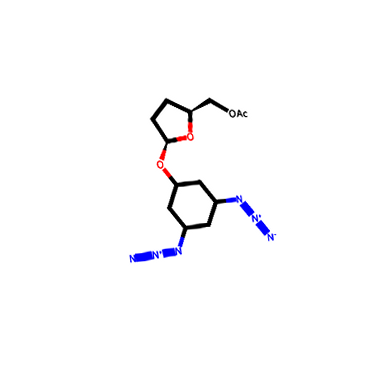 CC(=O)OC[C@@H]1CC[C@H](OC2CC(N=[N+]=[N-])CC(N=[N+]=[N-])C2)O1